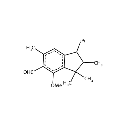 COc1c(C=O)c(C)cc2c1C(C)(C)C(C)C2C(C)C